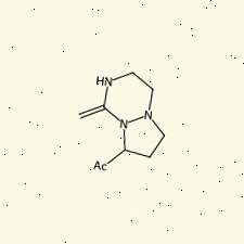 C=C1NCCN2CCC(C(C)=O)N12